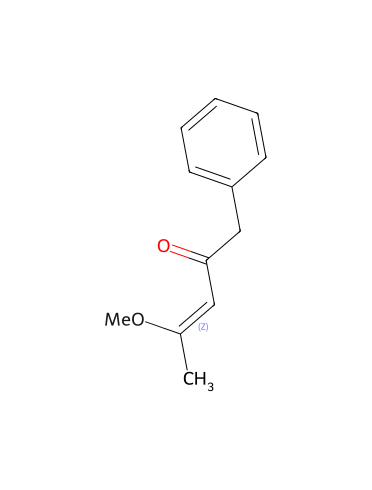 CO/C(C)=C\C(=O)Cc1ccccc1